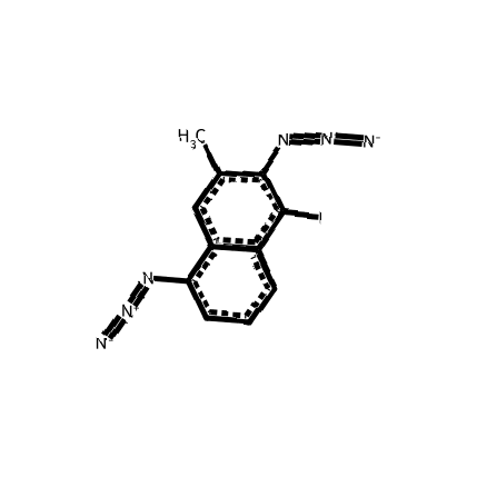 Cc1cc2c(N=[N+]=[N-])cccc2c(I)c1N=[N+]=[N-]